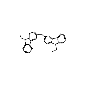 CCn1c2ccccc2c2cc(Cc3ccc4c(c3)c3ccccc3n4CC)ccc21